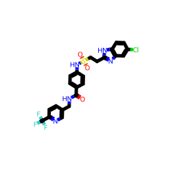 O=C(NCc1ccc(C(F)(F)F)nc1)c1ccc(NS(=O)(=O)CCc2nc3cc(Cl)ccc3[nH]2)cc1